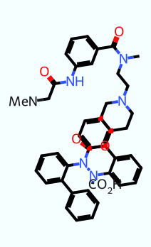 CNCC(=O)Nc1cccc(C(=O)N(C)CCN2CCC(OC(=O)N(c3ccccc3-c3ccccc3)N(C(=O)O)c3ccccc3-c3ccccc3)CC2)c1